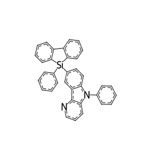 c1ccc(-n2c3ccc([Si]4(c5ccccc5)c5ccccc5-c5ccccc54)cc3c3ncccc32)cc1